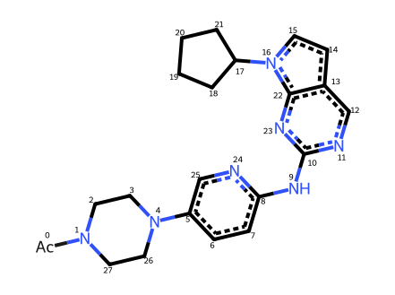 CC(=O)N1CCN(c2ccc(Nc3ncc4ccn(C5CCCC5)c4n3)nc2)CC1